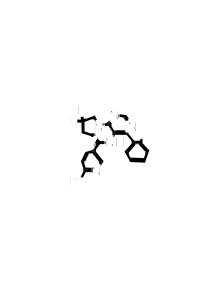 CC(C)c1ccc(C(=O)Nc2c(-c3ccccc3F)ncnc2N2CCC(F)(F)C2)cn1